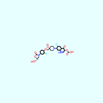 O=C(O)Oc1c[nH]c2cc(N3CCC(O)(COc4ccc(N5C[C@H](CO)OC5=O)cc4F)CC3)c(F)cc2c1=O